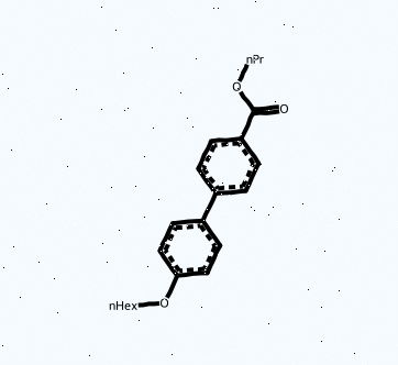 CCCCCCOc1ccc(-c2ccc(C(=O)OCCC)cc2)cc1